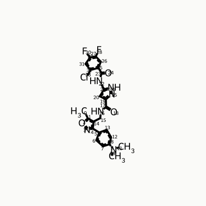 Cc1onc(-c2ccc(N(C)C)cc2)c1CNC(=O)c1cc(NC(=O)c2cc(F)c(F)cc2Cl)[nH]n1